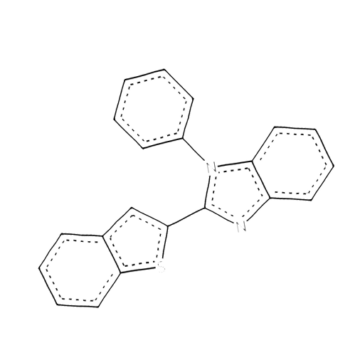 c1ccc(-n2c(-c3cc4ccccc4s3)nc3ccccc32)cc1